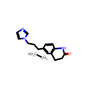 CC(=O)O.O=C1CCc2cc(CCCn3ccnc3)ccc2N1